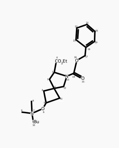 CCOC(=O)C1CC2(CC(O[Si](C)(C)C(C)(C)C)C2)CN1C(=O)OCc1ccccc1